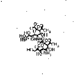 CC(=O)C1[C@H](O)[C@@H](N)[C@H]([C@H](O)[C@H](O)CO)OC1(O)C(=O)[O-].CC(=O)C1[C@H](O)[C@@H](N)[C@H]([C@H](O)[C@H](O)CO)OC1(O)C(=O)[O-].[Na+].[Na+]